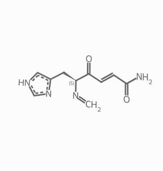 C=N[C@@H](Cc1c[nH]cn1)C(=O)C=CC(N)=O